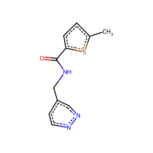 Cc1ccc(C(=O)NCc2ccnnc2)s1